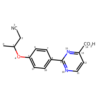 CC(CC#N)Oc1ccc(-c2nccc(C(=O)O)n2)cc1